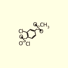 CS(=O)(=O)c1ccc(S(=O)(=O)Cl)c(Cl)c1